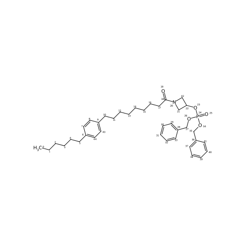 CCCCCCc1ccc(CCCCCCCCC(=O)N2CC(OP(=O)(OCc3ccccc3)OCc3ccccc3)C2)cc1